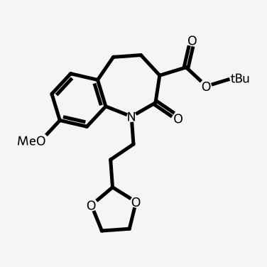 COc1ccc2c(c1)N(CCC1OCCO1)C(=O)C(C(=O)OC(C)(C)C)CC2